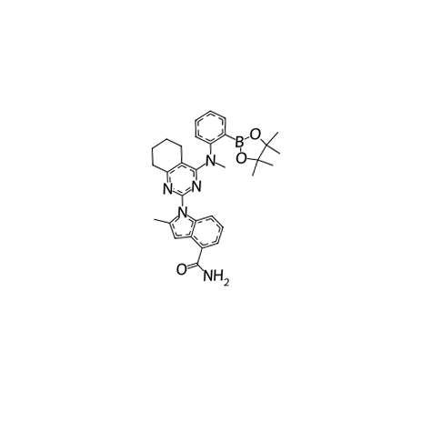 Cc1cc2c(C(N)=O)cccc2n1-c1nc2c(c(N(C)c3ccccc3B3OC(C)(C)C(C)(C)O3)n1)CCCC2